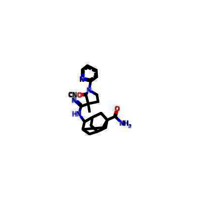 CC1(/C(=N\C#N)NC2C3CC4CC2CC(C(N)=O)(C4)C3)CCN(c2ccccn2)C1=O